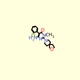 Cn1c(N2CCC3(CCOC3)CC2)nc(N)c(-c2ccccc2Cl)c1=O